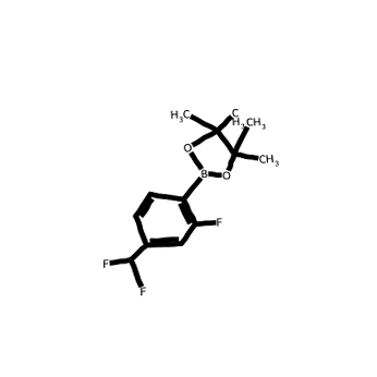 CC1(C)OB(c2ccc(C(F)F)cc2F)OC1(C)C